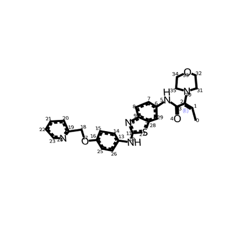 C/C=C(\C(=O)Nc1ccc2nc(Nc3ccc(OCc4ccccn4)cc3)sc2c1)N1CCOCC1